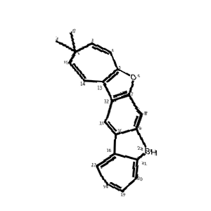 CC1(C)C=Cc2oc3cc4c(cc3c2C=C1)-c1ccccc1B4